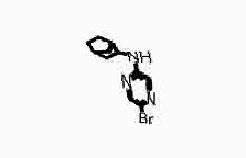 Brc1cnc(NC2CC3CCC2C3)cn1